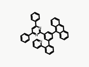 c1ccc(-c2cc(-c3ccccc3)nc(-c3cc(-c4ccccc4-c4ccccn4)cc(-c4c5ccccc5cc5ccccc45)c3)n2)cc1